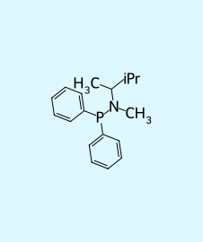 CC(C)C(C)N(C)P(c1ccccc1)c1ccccc1